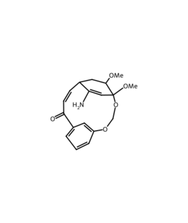 COC1CC2C=CC(=O)c3cccc(c3)OCOC1(OC)C=C2N